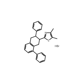 Br.Cc1nc(C2Cc3c(cccc3-c3ccccc3)CC2c2ccccc2)sc1C